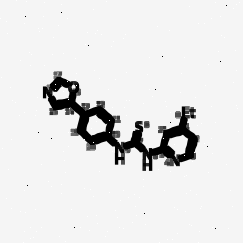 CCc1ccnc(NC(=S)Nc2ccc(-c3cnco3)cc2)c1